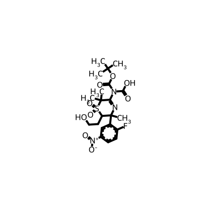 CC(C)(C)OC(=O)N(C(=O)O)C1=NC(C)(c2cc([N+](=O)[O-])ccc2F)C(CCO)S(=O)(=O)C1(C)C